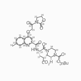 CCCCOC(=O)N1CCN(C(=O)[C@H](CCC(=O)O)NC(=O)c2cc(OCC(=O)N3CCOC3=O)c3ccc(C)cc3n2)CC1